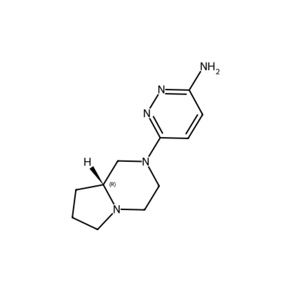 Nc1ccc(N2CCN3CCC[C@@H]3C2)nn1